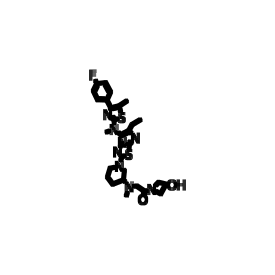 CCc1nc2sc(N3CCCC(N(C)CC(=O)N4CC(O)C4)C3)nn2c1N(C)c1nc(-c2ccc(F)cc2)c(C)s1